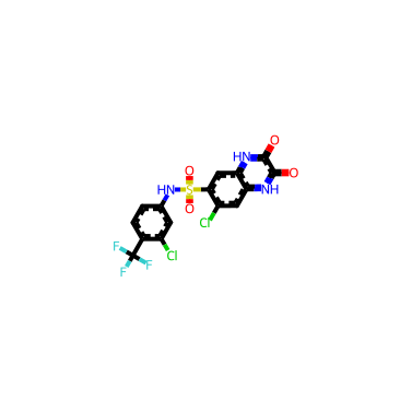 O=c1[nH]c2cc(Cl)c(S(=O)(=O)Nc3ccc(C(F)(F)F)c(Cl)c3)cc2[nH]c1=O